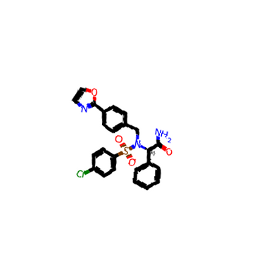 NC(=O)[C@@H](c1ccccc1)N(Cc1ccc(-c2ncco2)cc1)S(=O)(=O)c1ccc(Cl)cc1